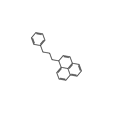 C1=CC(CCCc2ccccc2)c2cccc3cccc1c23